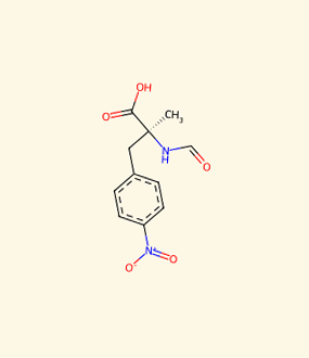 C[C@@](Cc1ccc([N+](=O)[O-])cc1)(NC=O)C(=O)O